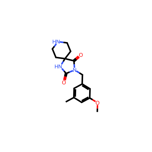 COc1cc(C)cc(CN2C(=O)NC3(CCNCC3)C2=O)c1